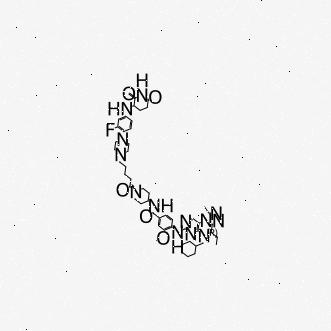 CC[C@@H]1c2nnc(C)n2-c2cnc(Nc3ccc(C(=O)NC4CCN(C(=O)CCCCN5CCN(c6ccc(NC7CCC(=O)NC7=O)cc6F)CC5)CC4)cc3OC)nc2N1CC1CCCCC1